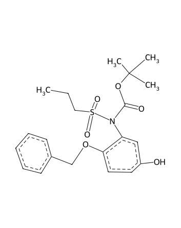 CCCS(=O)(=O)N(C(=O)OC(C)(C)C)c1cc(O)ccc1OCc1ccccc1